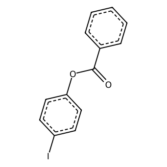 O=C(Oc1ccc(I)cc1)c1ccccc1